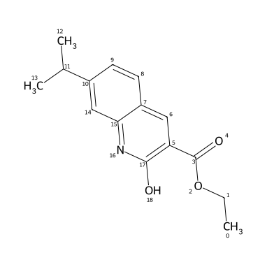 CCOC(=O)c1cc2ccc(C(C)C)cc2nc1O